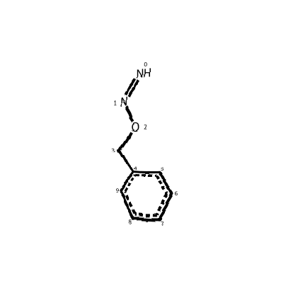 N=NOCc1ccccc1